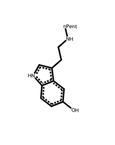 CCCCCNCCc1c[nH]c2ccc(O)cc12